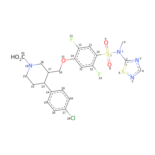 CN(c1ncns1)S(=O)(=O)c1cc(F)c(OCC2CN(C(=O)O)CCC2c2ccc(Cl)cc2)cc1F